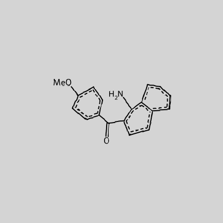 COc1ccc(C(=O)c2ccc3ccccc3c2N)cc1